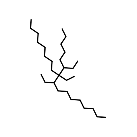 CCCCCCCC[C](CC)C(CC)(CCCCCCCC)C(CC)CCCCC